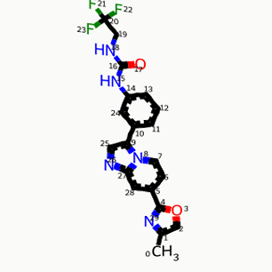 Cc1coc(-c2ccn3c(-c4cccc(NC(=O)NCC(F)(F)F)c4)cnc3c2)n1